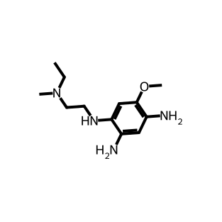 CCN(C)CCNc1cc(OC)c(N)cc1N